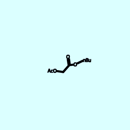 [CH2]CCCOC(=O)COC(C)=O